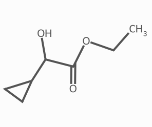 CCOC(=O)C(O)C1CC1